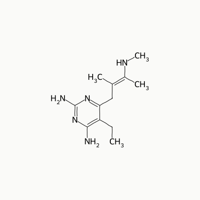 CCc1c(N)nc(N)nc1C/C(C)=C(\C)NC